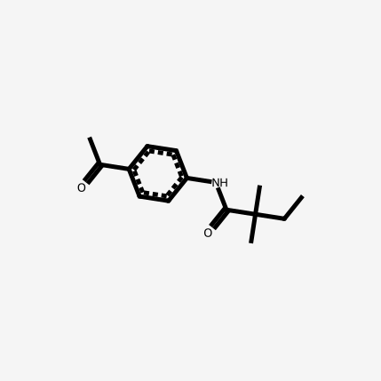 CCC(C)(C)C(=O)Nc1ccc(C(C)=O)cc1